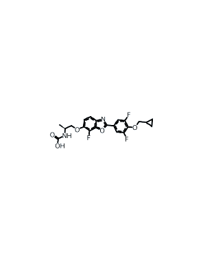 C[C@@H](COc1ccc2nc(-c3cc(F)c(OCC4CC4)c(F)c3)oc2c1F)NC(=O)O